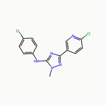 Cn1nc(-c2ccc(Cl)nc2)nc1Nc1ccc(Cl)cc1